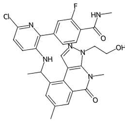 CNC(=O)c1ccc(-c2nc(Cl)ccc2NC(C)c2cc(C)cc3c(=O)n(C)c4c(cnn4CCO)c23)cc1F